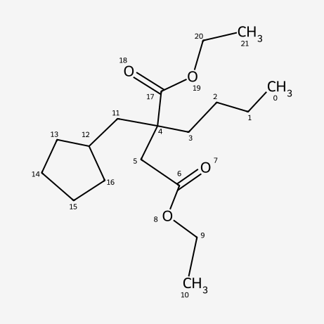 CCCCC(CC(=O)OCC)(CC1CCCC1)C(=O)OCC